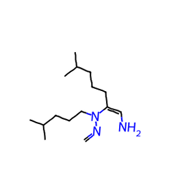 C=NN(CCCC(C)C)/C(=C\N)CCCC(C)C